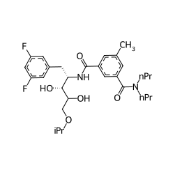 CCCN(CCC)C(=O)c1cc(C)cc(C(=O)N[C@@H](Cc2cc(F)cc(F)c2)[C@@H](O)C(O)COC(C)C)c1